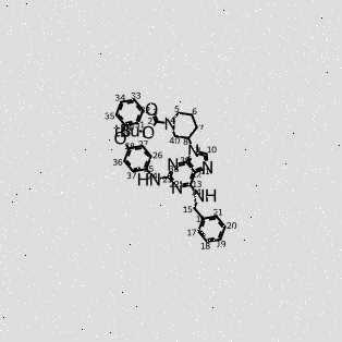 CC(C)(C)OC(=O)N1CCCC(n2cnc3c(NCc4ccccc4)nc(Nc4ccc(Oc5ccccc5)cc4)nc32)C1